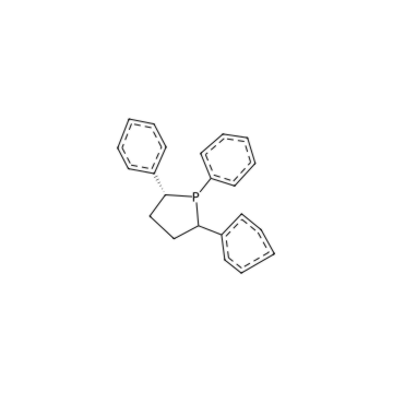 c1ccc(C2CC[C@H](c3ccccc3)P2c2ccccc2)cc1